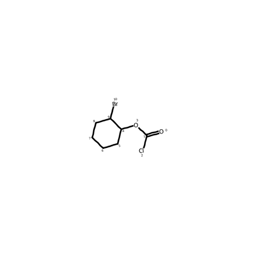 O=C(Cl)OC1CCCCC1Br